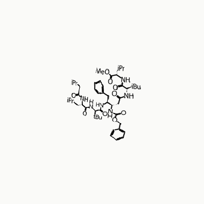 CC[C@H](C)[C@H](NC(=O)C[C@H](NC(=O)OCc1ccccc1)[C@H](Cc1ccccc1)NC(=O)C(NC(=O)[C@H](CC(C)C)NC(=O)CC(C)C)C(C)(C)C)C(=O)N[C@H](C(=O)OC)C(C)C